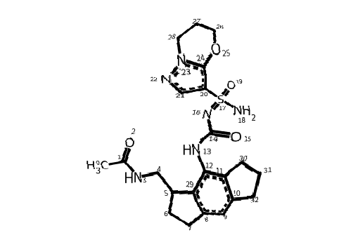 CC(=O)NCC1CCc2cc3c(c(NC(=O)N=S(N)(=O)c4cnn5c4OCCC5)c21)CCC3